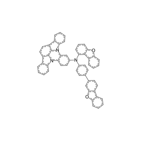 c1ccc2c(c1)oc1cc(-c3ccc(N(c4ccc5c(c4)n4c6ccccc6c6ccc7c8ccccc8n5c7c64)c4cccc5oc6ccccc6c45)cc3)ccc12